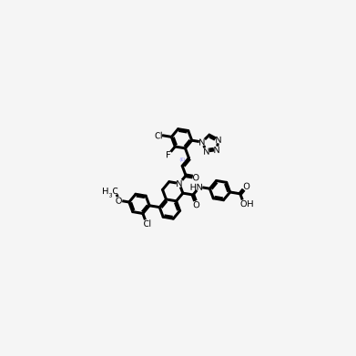 COc1ccc(-c2cccc3c2CCN(C(=O)/C=C/c2c(-n4cnnn4)ccc(Cl)c2F)C3C(=O)Nc2ccc(C(=O)O)cc2)c(Cl)c1